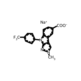 Cn1cc2c3cc(C(=O)[O-])ccc3n(-c3ccc(C(F)(F)F)cc3)c2n1.[Na+]